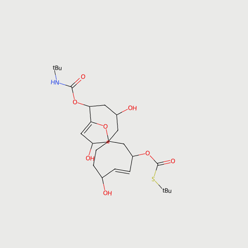 CC(C)(C)NC(=O)OC1CC(O)CCC(O)/C=C/1OC1CCC(O)/C=C/C(OC(=O)SC(C)(C)C)C1